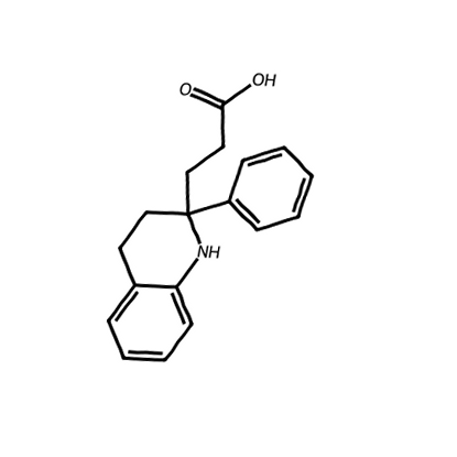 O=C(O)CCC1(c2ccccc2)CCc2ccccc2N1